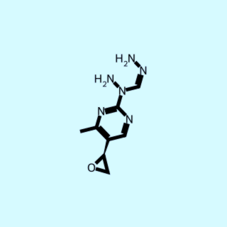 Cc1nc(N(N)/C=N\N)ncc1[C@H]1CO1